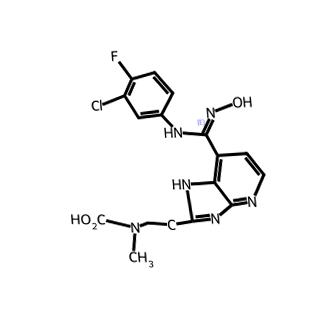 CN(CCc1nc2nccc(/C(=N\O)Nc3ccc(F)c(Cl)c3)c2[nH]1)C(=O)O